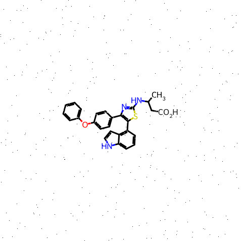 CC(CC(=O)O)Nc1nc(-c2ccc(Oc3ccccc3)cc2)c(-c2cccc3[nH]ccc23)s1